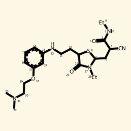 CCNC(=O)C(C#N)CC1SC(CCNc2cccc(OCCN(C)C)c2)C(=O)N1CC